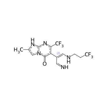 Cc1cn2c(=O)c(/C(C=N)=C/NCCC(F)(F)F)c(C(F)(F)F)nc2[nH]1